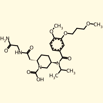 COCCCOc1cc(C(=O)N(C(C)C)[C@@H]2CC[C@@H](CC(=O)NCC(N)=O)N(C(=O)O)C2)ccc1OC